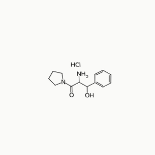 Cl.NC(C(=O)N1CCCC1)C(O)c1ccccc1